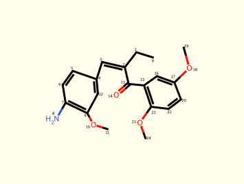 CCC(=Cc1ccc(N)c(OC)c1)C(=O)c1cc(OC)ccc1OC